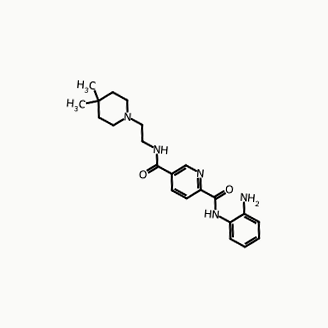 CC1(C)CCN(CCNC(=O)c2ccc(C(=O)Nc3ccccc3N)nc2)CC1